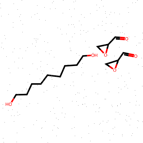 O=CC1CO1.O=CC1CO1.OCCCCCCCCCO